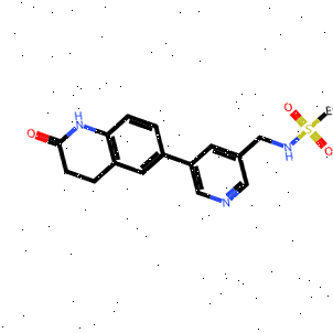 CCS(=O)(=O)NCc1cncc(-c2ccc3c(c2)CCC(=O)N3)c1